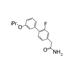 CC(C)Oc1cccc(-c2ccc(CC(N)=O)cc2F)c1